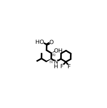 CC(C)C[C@H](NC1CCCCC1(F)F)[C@@H](O)CC(=O)O